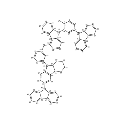 Cc1ccc(-n2c3ccccc3c3ccccc32)cc1-n1c2ccccc2c2c(Cc3cccc(N4c5ccc(-n6c7ccccc7c7ccccc76)cc5C5CCCCC54)c3)cccc21